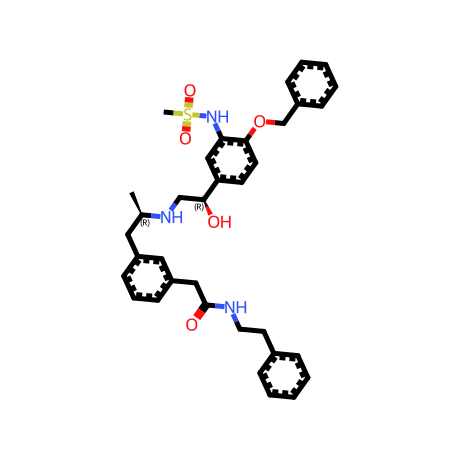 C[C@H](Cc1cccc(CC(=O)NCCc2ccccc2)c1)NC[C@H](O)c1ccc(OCc2ccccc2)c(NS(C)(=O)=O)c1